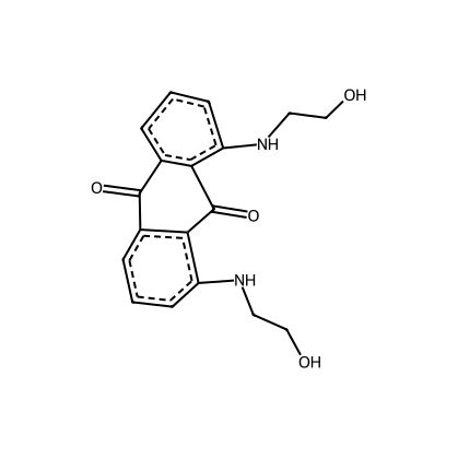 O=C1c2cccc(NCCO)c2C(=O)c2c(NCCO)cccc21